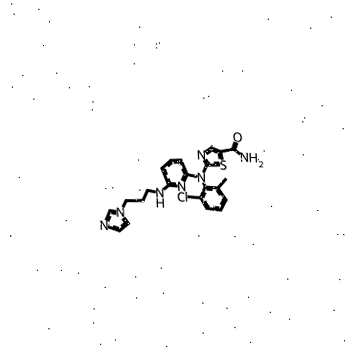 Cc1cccc(Cl)c1N(c1cccc(NCCCn2ccnc2)n1)c1ncc(C(N)=O)s1